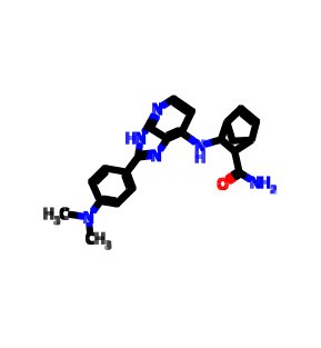 CN(C)c1ccc(-c2nc3c(NC4C5C=CC(C5)C4C(N)=O)ccnc3[nH]2)cc1